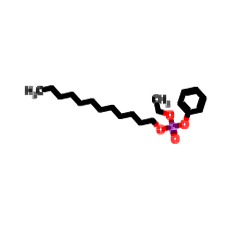 CCCCCCCCCCCCOP(=O)(OCC)Oc1ccccc1